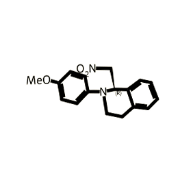 COc1ccc(N2CCc3ccccc3[C@@H]2C[N+](=O)[O-])cc1